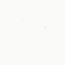 CC(=O)Cc1cc(Br)ccc1C(C)=O